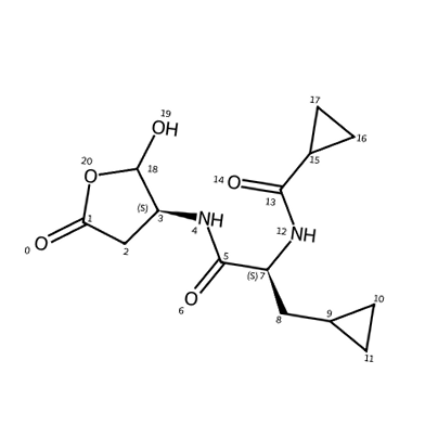 O=C1C[C@H](NC(=O)[C@H](CC2CC2)NC(=O)C2CC2)C(O)O1